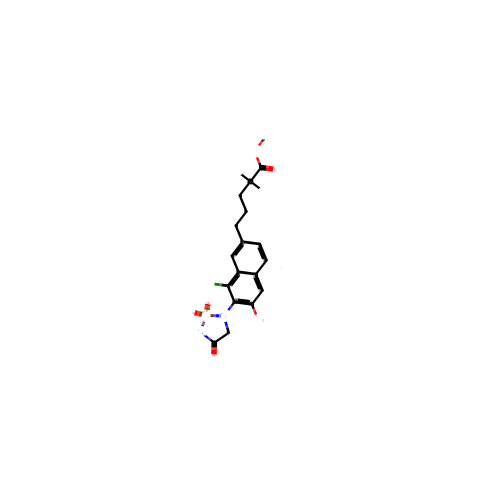 CC(C)OC(=O)C(C)(C)CCCc1ccc2cc(O)c(N3CC(=O)NS3(=O)=O)c(F)c2c1.[KH]